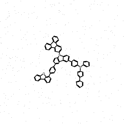 c1ccc(-c2ccc(N(c3ccccc3)c3ccc(-c4ccc5c(c4)c4cc(-c6ccc(-c7cccc8c7oc7ccccc78)cc6)ccc4n5-c4ccc5c6ccccc6c6ccccc6c5c4)cc3)cc2)cc1